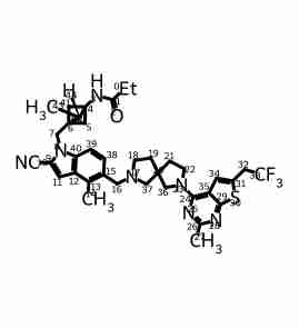 CCC(=O)NC12CC(Cn3c(C#N)cc4c(C)c(CN5CCC6(CCN(c7nc(C)nc8sc(CC(F)(F)F)cc78)C6)C5)ccc43)(C1)[C@@H]2C